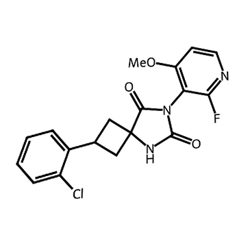 COc1ccnc(F)c1N1C(=O)NC2(CC(c3ccccc3Cl)C2)C1=O